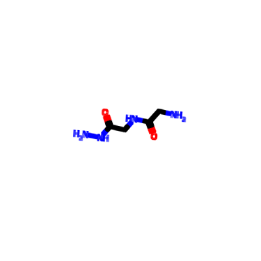 NCC(=O)NCC(=O)NN